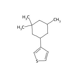 CC1CC(c2ccsc2)CC(C)(C)C1